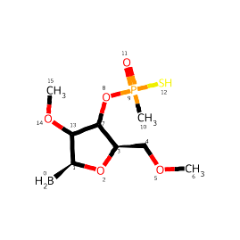 B[C@@H]1O[C@H](COC)C(OP(C)(=O)S)C1OC